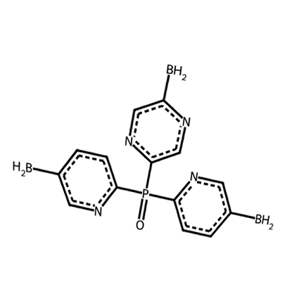 Bc1ccc(P(=O)(c2ccc(B)cn2)c2cnc(B)cn2)nc1